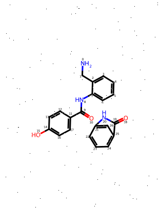 NCc1ccccc1NC(=O)c1ccc(O)cc1.O=C1Nc2cccc1c2